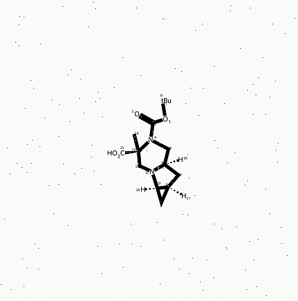 CC(C)(C)OC(=O)N1C[C@H]2C[C@H]3C[C@H]3N2C[C@@]1(C)C(=O)O